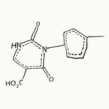 Cc1ccc(-n2c(=O)[nH]cc(C(=O)O)c2=O)cc1